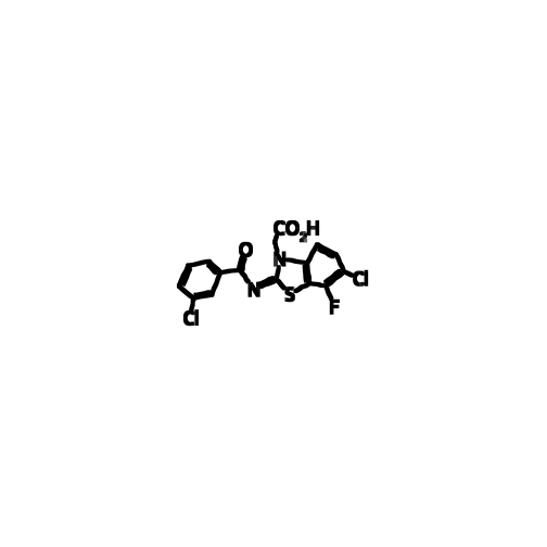 O=C(O)Cn1c(=NC(=O)c2cccc(Cl)c2)sc2c(F)c(Cl)ccc21